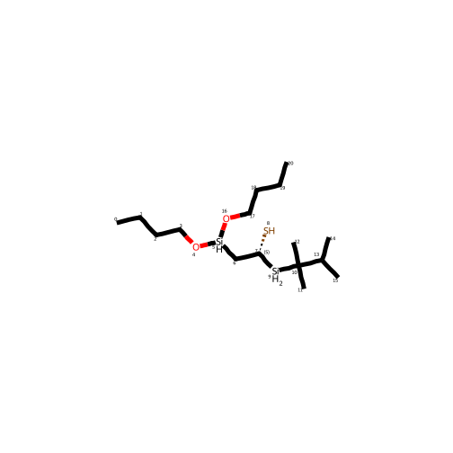 CCCCO[SiH](C[C@H](S)[SiH2]C(C)(C)C(C)C)OCCCC